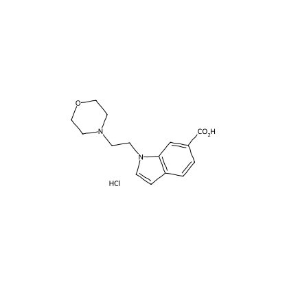 Cl.O=C(O)c1ccc2ccn(CCN3CCOCC3)c2c1